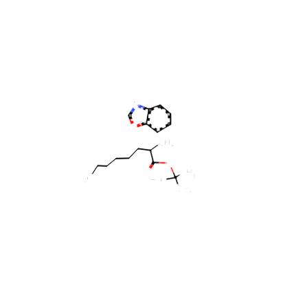 CCCCCCC(C)C(=O)OC(C)(C)C.c1ccc2ocnc2c1